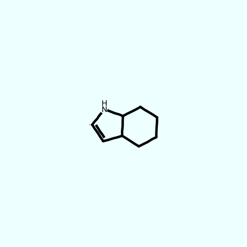 [C]1=CC2CCCCC2N1